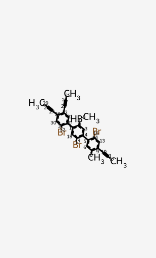 CBc1cc(-c2cc(C)c(C#CC)cc2Br)c(Br)cc1-c1cc(C#CC)c(C#CC)cc1Br